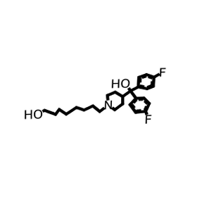 OCCCCCCCCN1CCC(C(O)(c2ccc(F)cc2)c2ccc(F)cc2)CC1